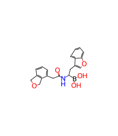 O=C(Cc1cccc2c1COC2)NC(Cc1coc2ccccc12)B(O)O